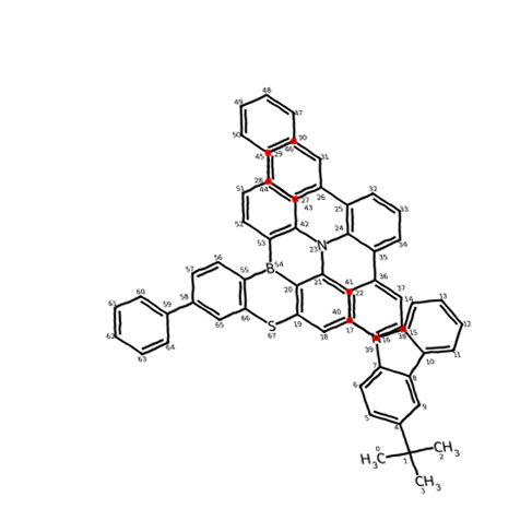 CC(C)(C)c1ccc2c(c1)c1ccccc1n2-c1cc2c3c(c1)N(c1c(-c4ccccc4)cccc1-c1ccccc1)c1cc(-c4ccccc4)ccc1B3c1ccc(-c3ccccc3)cc1S2